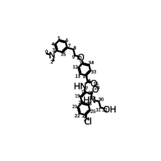 CN(C)c1cccc(CCOc2ccc(C(=O)NC(=Cc3ccc(Cl)cc3)C(=O)NCCO)cc2)c1